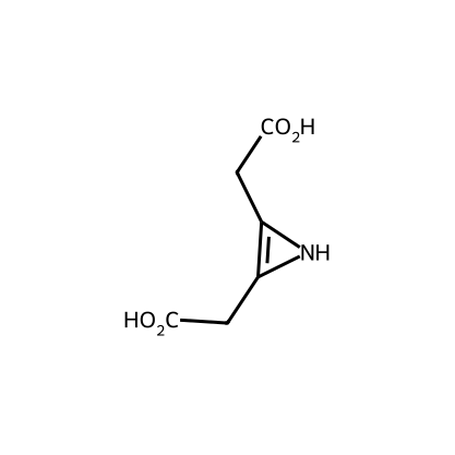 O=C(O)CC1=C(CC(=O)O)N1